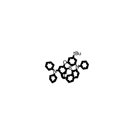 CC(C)(C)c1cc2c3c(c1)N(c1ccccc1)c1ccc4ccccc4c1B3c1c(cc(N(c3ccccc3)c3ccccc3)c3ccccc13)O2